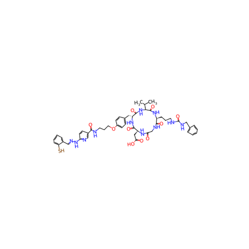 CC(C)C1NC(=O)[C@@H](Cc2ccc(OCCCNC(=O)c3ccc(N/N=C/c4ccccc4S)nc3)cc2)NC(=O)[C@H](CC(=O)O)NC(=O)CNC(=O)[C@H](CCCNC(=O)NCc2ccccc2)NC1=O